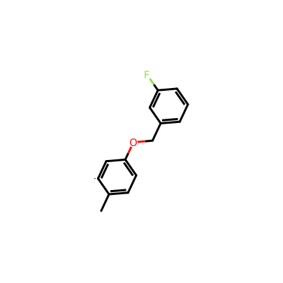 Cc1[c]cc(OCc2cccc(F)c2)cc1